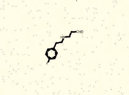 O=CCCNCCc1ccc(F)cc1